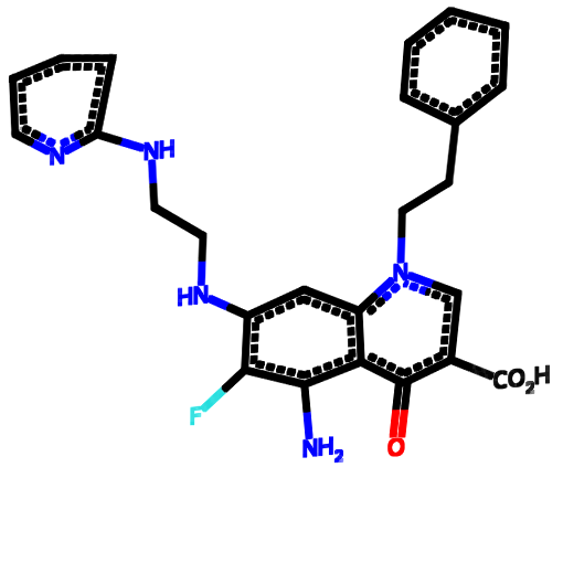 Nc1c(F)c(NCCNc2ccccn2)cc2c1c(=O)c(C(=O)O)cn2CCc1ccccc1